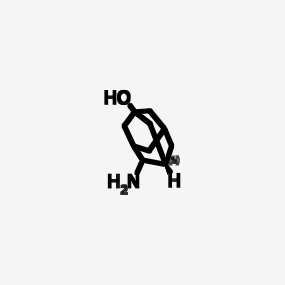 NC1C2CC3C[C@H]1CC(O)(C3)C2